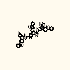 c1ccc2c(c1)oc1cc3c(cc12)c1ccncc1c1nc(-c2cc4c5cc6oc7ccccc7c6cc5n5c(-c6cc7c(cn6)c6nccn6c6c7ccc7c8ccccc8oc76)cnc5c4cn2)cn31